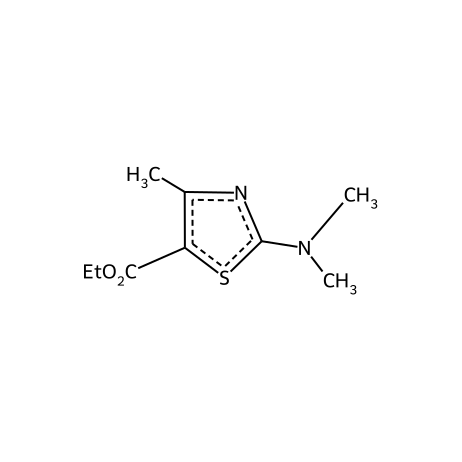 CCOC(=O)c1sc(N(C)C)nc1C